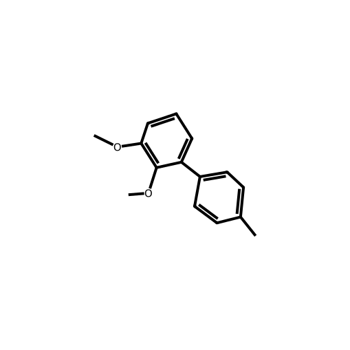 COc1cccc(-c2ccc(C)cc2)c1OC